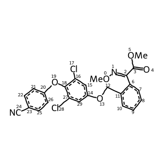 CO/N=C(/C(=O)OC)c1ccccc1COc1cc(Cl)c(Oc2ccc(C#N)cc2)c(Cl)c1